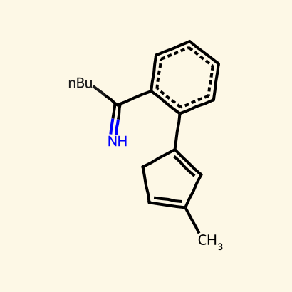 CCCCC(=N)c1ccccc1C1=CC(C)=CC1